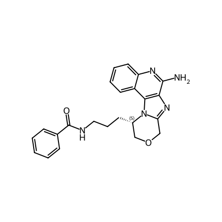 Nc1nc2ccccc2c2c1nc1n2[C@@H](CCCNC(=O)c2ccccc2)COC1